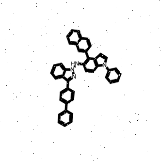 c1ccc(-c2ccc(-c3nn(Nc4ccc5c(ccn5-c5ccccc5)c4-c4ccc5ccccc5c4)c4ccccc34)cc2)cc1